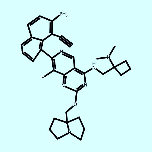 C#Cc1c(P)ccc2cccc(-c3ncc4c(NCC5(N(C)C)CCC5)nc(OCC56CCCN5CCC6)nc4c3F)c12